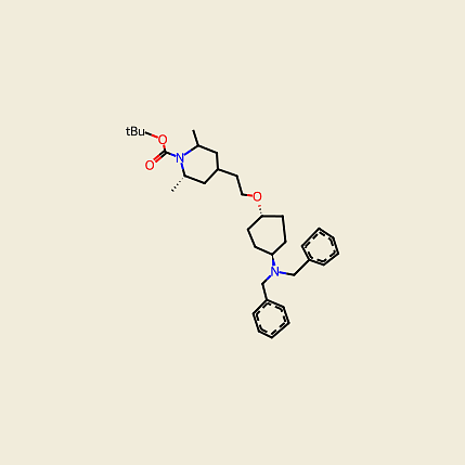 CC1CC(CCO[C@H]2CC[C@H](N(Cc3ccccc3)Cc3ccccc3)CC2)C[C@H](C)N1C(=O)OC(C)(C)C